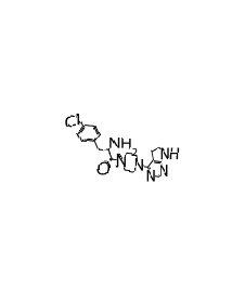 N[C@H](Cc1ccc(Cl)cc1)C(=O)N1CCN(c2ncnc3c2CCN3)CC1